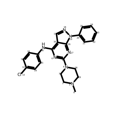 CN1CCN(c2nc(Nc3ccc(Cl)cc3)c3cnn(-c4ccccc4)c3n2)CC1